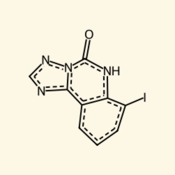 O=c1[nH]c2c(I)cccc2c2ncnn12